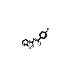 O=C(/N=C1\SSC2=NCCN21)c1ccc(F)cc1